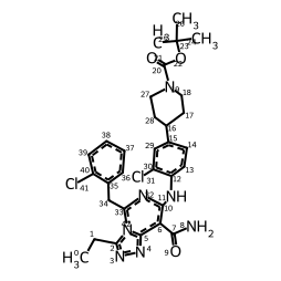 CCc1nnc2c(C(N)=O)c(Nc3ccc(C4CCN(C(=O)OC(C)(C)C)CC4)cc3Cl)nc(Cc3ccccc3Cl)n12